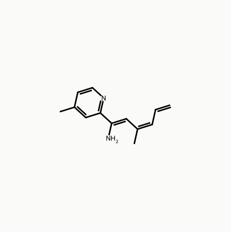 C=C/C=C(C)\C=C(/N)c1cc(C)ccn1